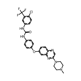 CN1CCN(c2cnc3ccc(Oc4ccc(NC(=O)Nc5ccc(Cl)c(C(F)(F)F)c5)cc4)cc3n2)CC1